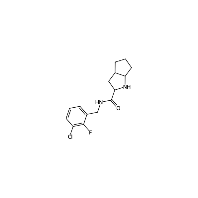 O=C(NCc1cccc(Cl)c1F)C1CC2CCCC2N1